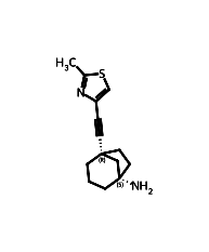 Cc1nc(C#C[C@]23CCC[C@](N)(CC2)C3)cs1